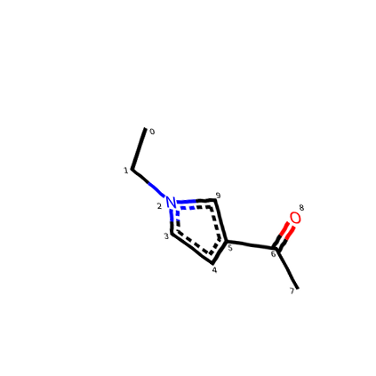 CCn1ccc(C(C)=O)c1